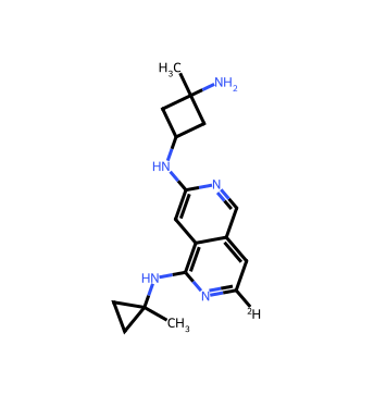 [2H]c1cc2cnc(NC3CC(C)(N)C3)cc2c(NC2(C)CC2)n1